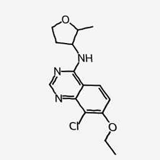 CCOc1ccc2c(NC3CCOC3C)ncnc2c1Cl